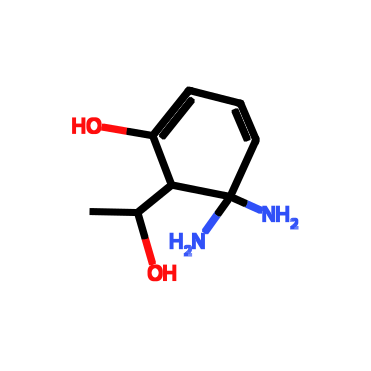 CC(O)C1C(O)=CC=CC1(N)N